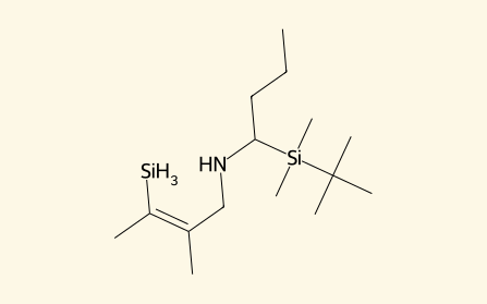 CCCC(NCC(C)=C(C)[SiH3])[Si](C)(C)C(C)(C)C